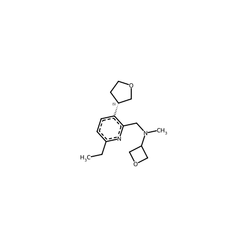 CCc1ccc([C@@H]2CCOC2)c(CN(C)C2COC2)n1